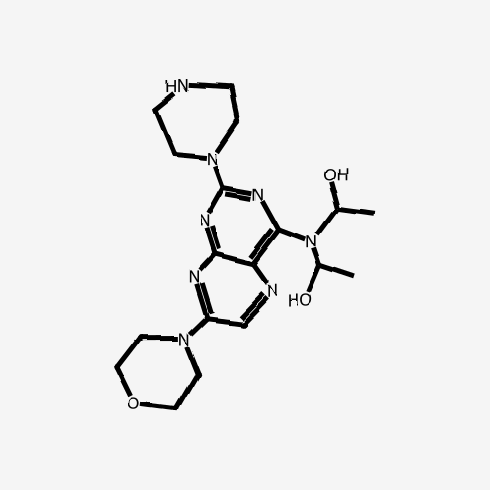 CC(O)N(c1nc(N2CCNCC2)nc2nc(N3CCOCC3)cnc12)C(C)O